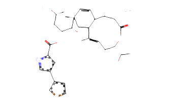 CO[C@H]1CC2C=C[C@@H]3C[C@]2(O[C@H]3[C@H](OC(=O)c2cc(-c3ccsc3)c[nH]2)[C@H](C)[C@H](C)O)/C(C)=C/[C@@H](C)[C@@H](C(C)O)OC1=O